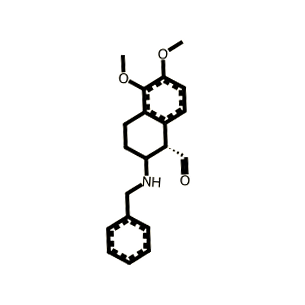 COc1ccc2c(c1OC)CCC(NCc1ccccc1)[C@H]2C=O